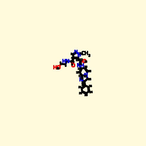 Cn1ncc(C(=O)NCCO)c1C(=O)NC1=CC2=NC(c3ccccc3)CN2C=C1